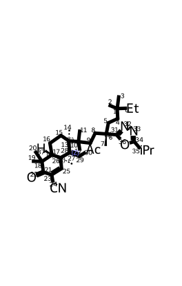 CCC(C)(C)CC[C@@](C)(CCC(C)(C)[C@]1(C)CC[C@H]2C(C)(C)C(=O)C(C#N)=C[C@]2(C)/C1=C/C(C)=O)c1nnc(C(C)C)o1